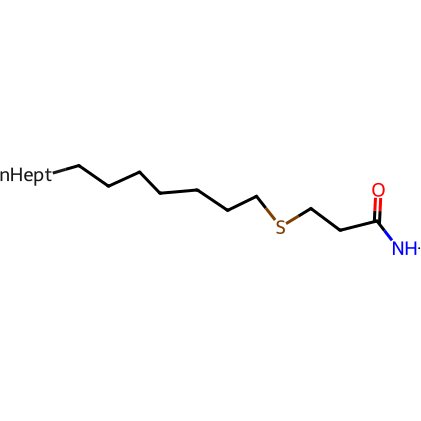 CCCCCCCCCCCCCCSCCC([NH])=O